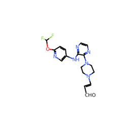 O=CC=CN1CCN(c2nccnc2Nc2ccc(OC(F)F)nc2)CC1